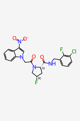 O=C(NCc1cccc(Cl)c1F)[C@@H]1C[C@@H](F)CN1C(=O)Cn1cc([N+](=O)[O-])c2ccccc21